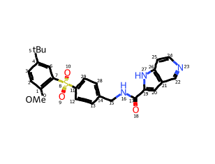 COc1ccc(C(C)(C)C)cc1S(=O)(=O)c1ccc(CNC(=O)c2cc3cnccc3[nH]2)cc1